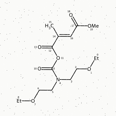 CCOCCN(CCOCC)C(=O)OC(=O)C(C)=CC(=O)OC